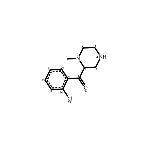 CN1CCNCC1C(=O)c1ccccc1Cl